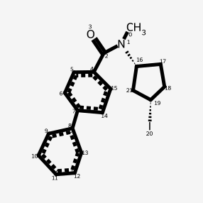 CN(C(=O)c1ccc(-c2ccccc2)cc1)[C@@H]1CC[C@H](I)C1